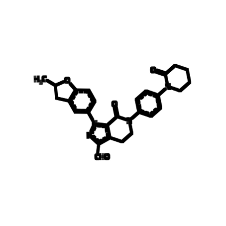 CC1Cc2cc(-n3nc(C=O)c4c3C(=O)N(c3ccc(N5CCCCC5=O)cc3)CC4)ccc2O1